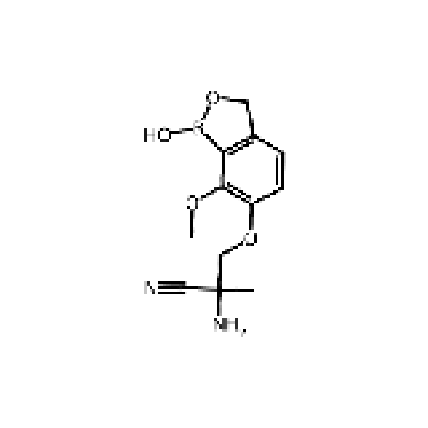 COc1c(OCC(C)(N)C#N)ccc2c1B(O)OC2